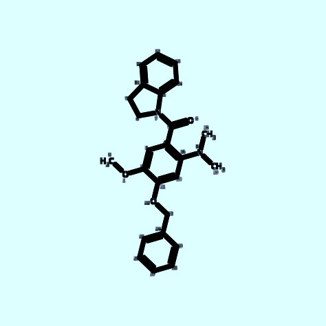 COc1cc(C(=O)N2CCc3ccccc32)c(N(C)C)cc1OCc1ccccc1